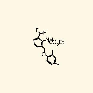 CCOC(=O)Nc1c(COc2ccc(C)cc2C)cccc1C(F)F